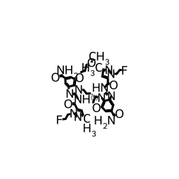 COCCCOc1cc(C(N)=O)cc2nc(NC(=O)c3cc(C)nn3CCF)n(CCC[C@H]3COc4cc(C(N)=O)cc5nc(NC(=O)c6cc(C)nn6CCF)n3c45)c12